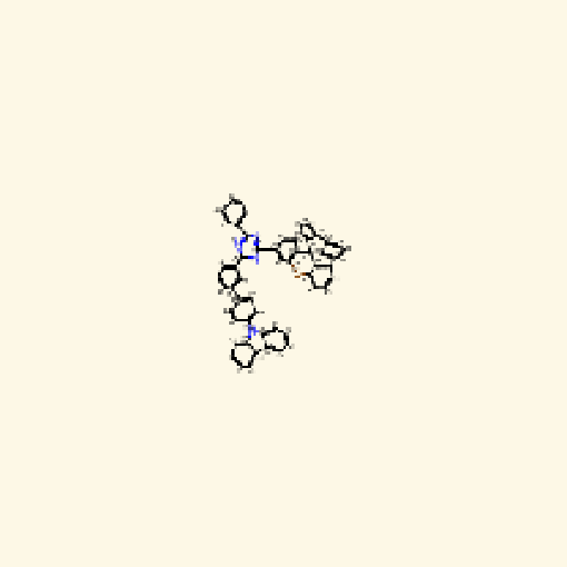 c1ccc(-c2nc(-c3cccc(-c4ccc(-n5c6ccccc6c6ccccc65)cc4)c3)nc(-c3ccc4c(c3)Sc3ccccc3C43c4ccccc4-c4ccccc43)n2)cc1